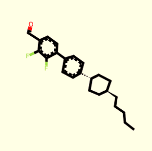 CCCCC[C@H]1CC[C@H](c2ccc(-c3ccc(C=O)c(F)c3F)cc2)CC1